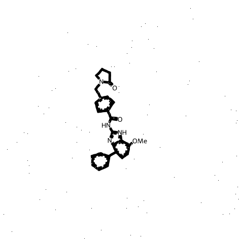 COc1ccc(-c2ccccc2)c2nc(NC(=O)c3ccc(CN4CCCC4=O)cc3)[nH]c12